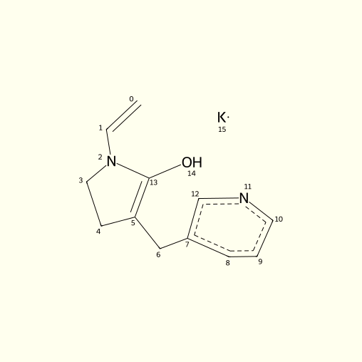 C=CN1CCC(Cc2cccnc2)=C1O.[K]